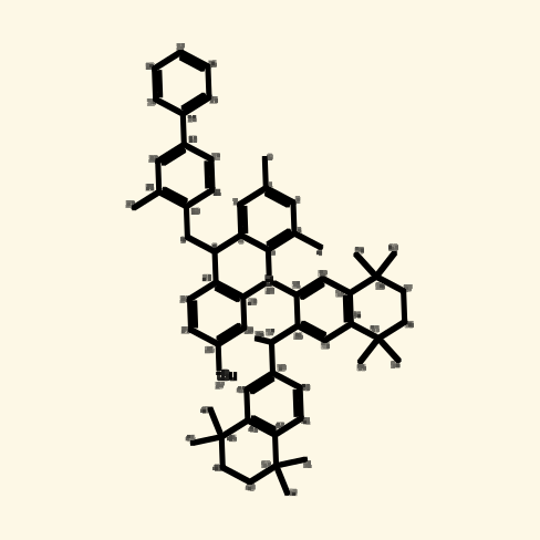 Cc1cc(C)c2c(c1)C(Cc1ccc(-c3ccccc3)cc1C)c1ccc(C(C)(C)C)cc1B2c1cc2c(cc1C(C)c1ccc3c(c1)C(C)(C)CCC3(C)C)C(C)(C)CCC2(C)C